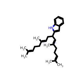 CC(C)=CCC/C(C)=C/CC(/C=C(\C)CCC=C(C)C)c1cc2ccccc2[nH]1